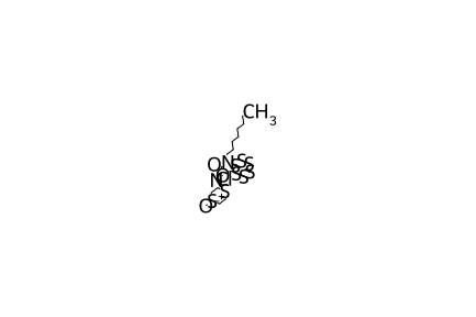 CCCCCCCCN(C(=O)ON=C1C[S+]([O-])CCS1)S1=S(Cl)SSSS1